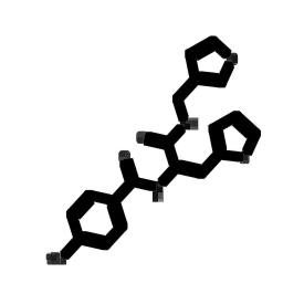 CC(C)(C)c1ccc(C(=O)NC(=Cc2cccs2)C(=O)NCc2ccoc2)cc1